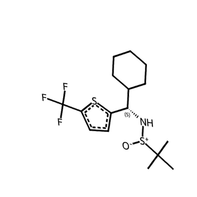 CC(C)(C)[S+]([O-])N[C@H](c1ccc(C(F)(F)F)s1)C1CCCCC1